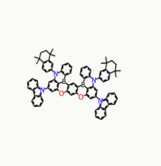 CC1(C)CCC(C)(C)c2cc(N3c4ccccc4B4c5cc6c(cc5Oc5cc(-n7c8ccccc8c8ccccc87)cc3c54)Oc3cc(-n4c5ccccc5c5ccccc54)cc4c3B6c3ccccc3N4c3ccc4c(c3)C(C)(C)CCC4(C)C)ccc21